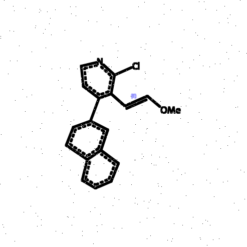 CO/C=C/c1c(-c2ccc3ccccc3c2)ccnc1Cl